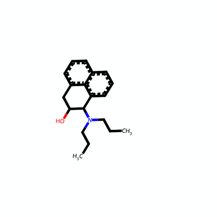 CCCN(CCC)C1c2cccc3cccc(c23)CC1O